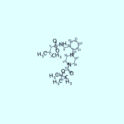 CC(C)CS(=O)(=O)NCc1ccccc1N1CCN(C(=O)OC(C)(C)C)CC1